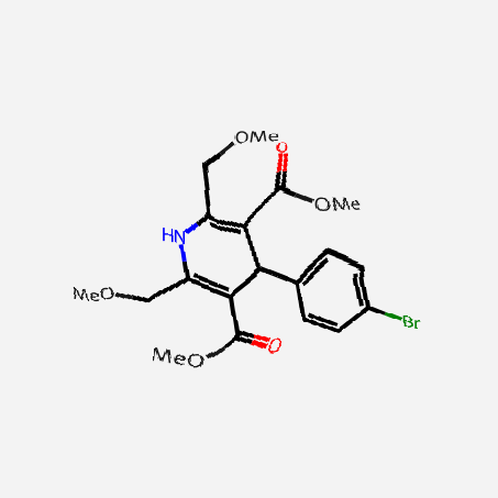 COCC1=C(C(=O)OC)C(c2ccc(Br)cc2)C(C(=O)OC)=C(COC)N1